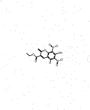 C=C1Oc2c(c(C)c([N+](=O)[O-])c(O)c2[N+](=O)[O-])C=C1C(=O)OCC